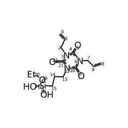 C=CCn1c(=O)n(CC=C)c(=O)n(CCC[Si](O)(O)OCC)c1=O